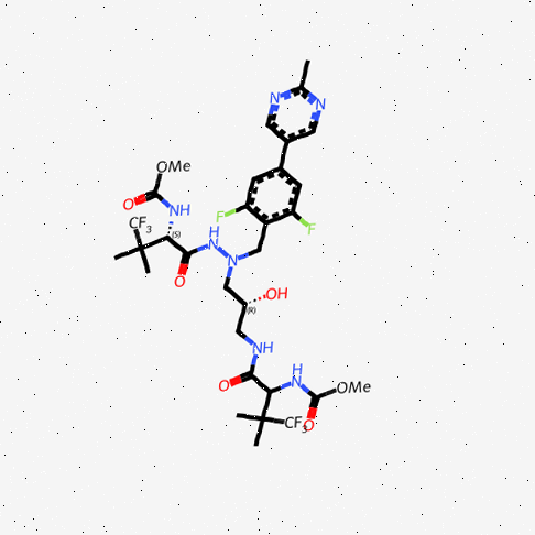 COC(=O)NC(C(=O)NC[C@@H](O)CN(Cc1c(F)cc(-c2cnc(C)nc2)cc1F)NC(=O)[C@@H](NC(=O)OC)C(C)(C)C(F)(F)F)C(C)(C)C(F)(F)F